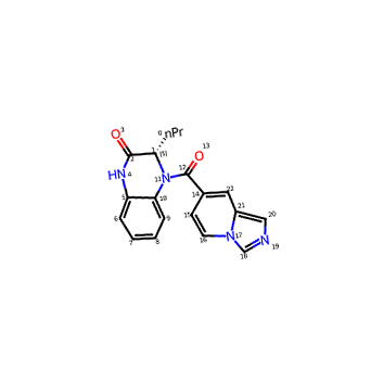 CCC[C@H]1C(=O)Nc2ccccc2N1C(=O)c1ccn2cncc2c1